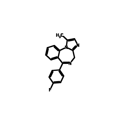 Cc1cnc2n1-c1ccccc1C(c1ccc(F)cc1)=NC2